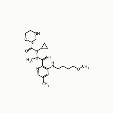 COCCCCNc1cc(C)cnc1C(=N)[C@@H](C)N(C(=O)[C@H]1CNCCO1)C1CC1